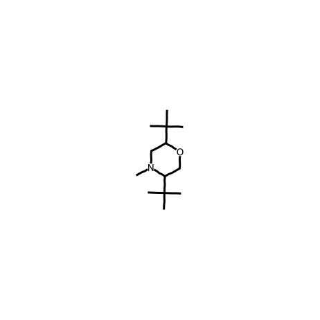 CN1CC(C(C)(C)C)OCC1C(C)(C)C